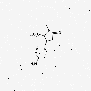 CCOC(=O)C1C(c2ccc(N)cc2)CC(=O)N1C